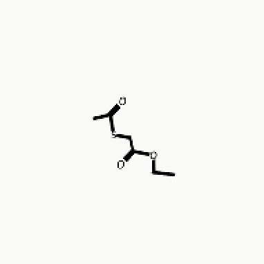 C[CH]OC(=O)CSC(C)=O